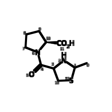 CC1NC(C(=O)N2CCC[C@H]2C(=O)O)CS1